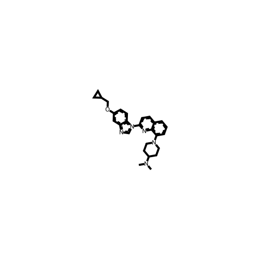 CN(C)C1CCN(c2cccc3ccc(-n4cnc5cc(OCC6CC6)ccc54)nc23)CC1